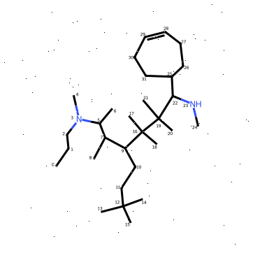 CCCN(C)C(C)C(C)C(CCC(C)(C)C)C(C)(C)C(C)(C)C(NC)C1CCC=CCC1